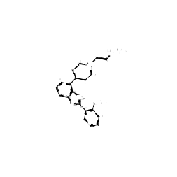 CNCCN1CCC(c2cccc3nc(-c4ccccc4OC)[nH]c23)CC1